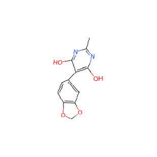 Cc1nc(O)c(-c2ccc3c(c2)OCO3)c(O)n1